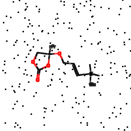 CCCC1(OCC=C[Si](C)(C)C(C)(C)C)COC(=O)O1